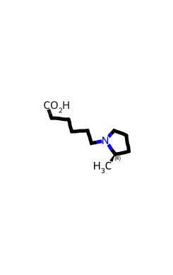 C[C@@H]1CCCN1CCCCCC(=O)O